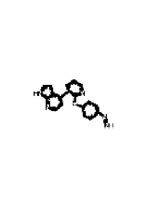 N=Nc1ccc(Oc2ncccc2-c2ccnc3[nH]ccc23)cc1